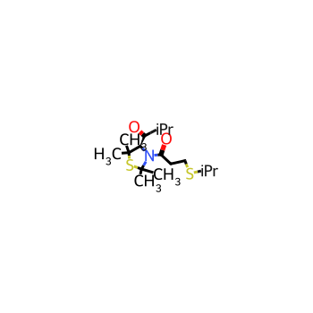 CC(C)SCCC(=O)N1[C@H](C(=O)C(C)C)C(C)(C)SC1(C)C